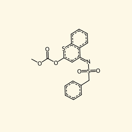 COC(=O)Oc1cc(=NS(=O)(=O)Cc2ccccc2)c2ccccc2s1